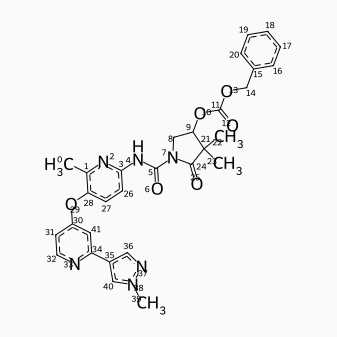 Cc1nc(NC(=O)N2CC(OC(=O)OCc3ccccc3)C(C)(C)C2=O)ccc1Oc1ccnc(-c2cnn(C)c2)c1